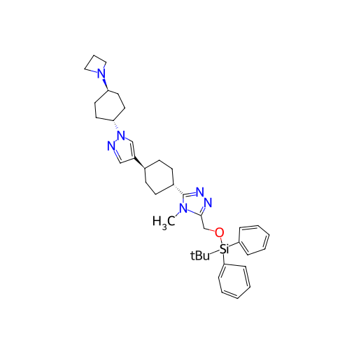 Cn1c(CO[Si](c2ccccc2)(c2ccccc2)C(C)(C)C)nnc1[C@H]1CC[C@H](c2cnn([C@H]3CC[C@H](N4CCC4)CC3)c2)CC1